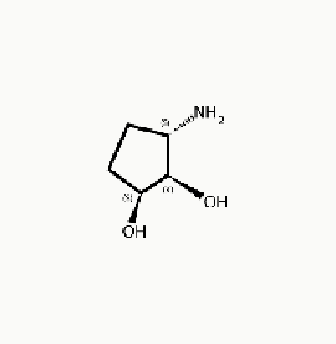 N[C@H]1CC[C@H](O)[C@@H]1O